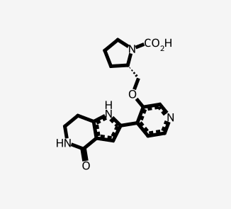 O=C1NCCc2[nH]c(-c3ccncc3OC[C@@H]3CCCN3C(=O)O)cc21